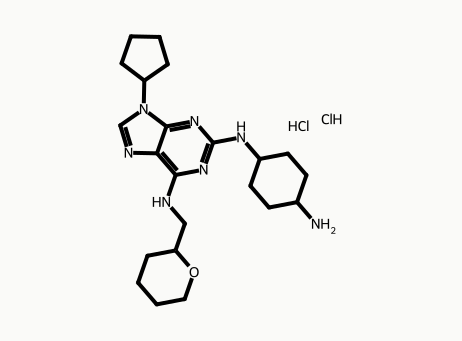 Cl.Cl.NC1CCC(Nc2nc(NCC3CCCCO3)c3ncn(C4CCCC4)c3n2)CC1